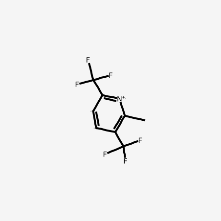 CC1=C(C(F)(F)F)[C]=[C]C(C(F)(F)F)=[N+]1